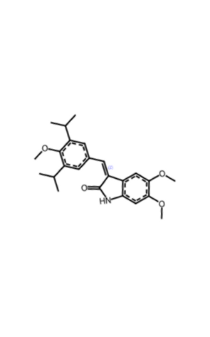 COc1cc2c(cc1OC)/C(=C/c1cc(C(C)C)c(OC)c(C(C)C)c1)C(=O)N2